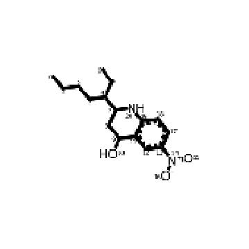 CCCCC(CC)C1CC(O)c2cc([N+](=O)[O-])ccc2N1